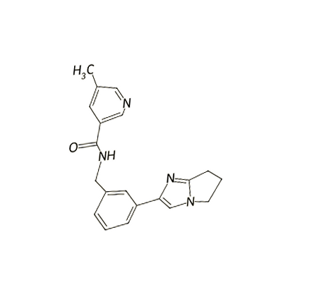 Cc1cncc(C(=O)NCc2cccc(-c3cn4c(n3)CCC4)c2)c1